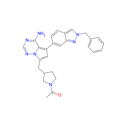 CC(=O)N1CCC(Cc2cc(-c3ccc4cn(Cc5ccccc5)nc4c3)c3c(N)ncnn23)C1